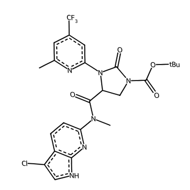 Cc1cc(C(F)(F)F)cc(N2C(=O)N(C(=O)OC(C)(C)C)CC2C(=O)N(C)c2ccc3c(Cl)c[nH]c3n2)n1